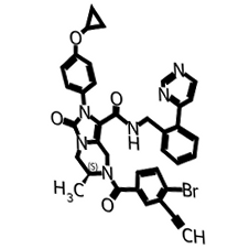 C#Cc1cc(C(=O)N2Cc3c(C(=O)NCc4ccccc4-c4ccncn4)n(-c4ccc(OC5CC5)cc4)c(=O)n3C[C@@H]2C)ccc1Br